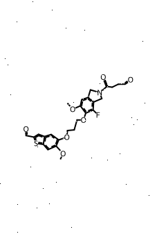 COc1cc2sc(C=O)cc2cc1OCCCOc1c(OC)cc2c(c1F)CN(C(=O)CCC=O)C2